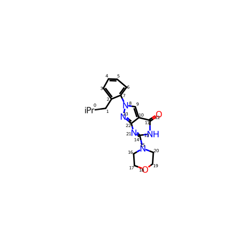 CC(C)Cc1ccccc1-n1cc2c(=O)[nH]c(N3CCOCC3)nc2n1